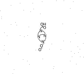 O=COCN1CCN2CCN(CC1)CCN(CC(=O)O)CC2